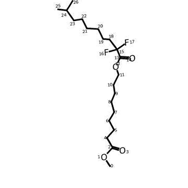 COC(=O)CCCCCCCCOC(=O)C(F)(F)CCCCCCC(C)C